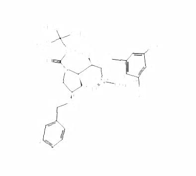 CC(C)(C)OC(=O)N1C[C@H](OCc2ccccc2)C[C@@H]1[C@@H](O)[C@H](Cc1cc(F)cc(F)c1)[N+](=O)[O-]